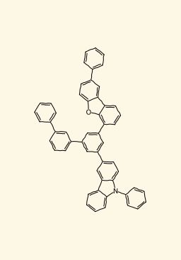 c1ccc(-c2cccc(-c3cc(-c4ccc5c(c4)c4ccccc4n5-c4ccccc4)cc(-c4cccc5c4oc4ccc(-c6ccccc6)cc45)c3)c2)cc1